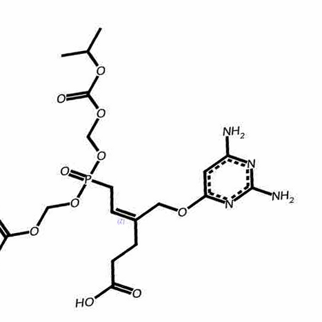 CC(C)OC(=O)OCOP(=O)(C/C=C(/CCC(=O)O)COc1cc(N)nc(N)n1)OCOC(=O)OC(C)C